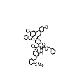 CSc1ccccc1CN1CCN(C(=O)[C@H](NC(=O)OCc2ccccc2)C2CCN(CCc3cc(Cl)ccc3-c3cc(Cl)cc(OCc4ccccc4)c3)CC2)CC1